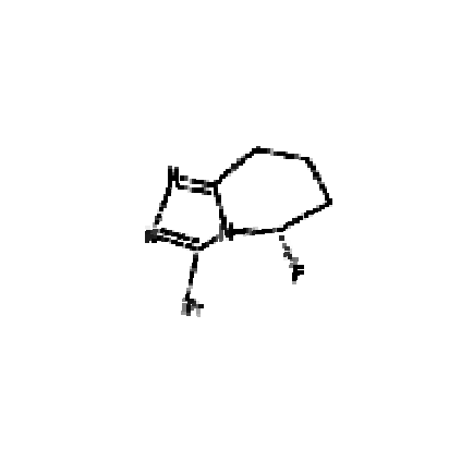 CC(C)c1nnc2n1[C@@H](F)CCC2